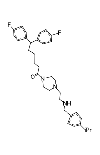 CC(C)c1ccc(CNCCN2CCN(C(=O)CCCCC(c3ccc(F)cc3)c3ccc(F)cc3)CC2)cc1